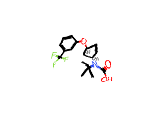 CC(C)(C)N(C(=O)O)[C@H]1CC[C@H](Oc2cccc(C(F)(F)F)c2)C1